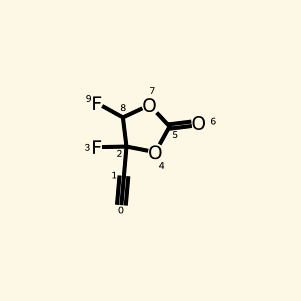 C#CC1(F)OC(=O)OC1F